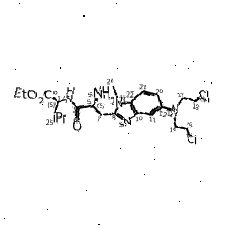 CCOC(=O)[C@@H](NC(=O)[C@@H](N)Cc1nc2cc(N(CCCl)CCCl)ccc2n1C)C(C)C